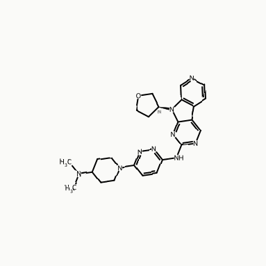 CN(C)C1CCN(c2ccc(Nc3ncc4c5ccncc5n([C@H]5CCOC5)c4n3)nn2)CC1